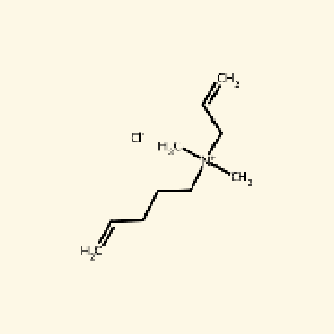 C=CCCC[N+](C)(C)CC=C.[Cl-]